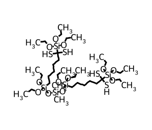 CCO[Si](CCCCCC(S)(S)[Si](OCC)(OCC)OCC)(OCC)O[Si](C)(C)O[Si](CCCCCC(S)(S)[Si](OCC)(OCC)OCC)(OCC)OCC